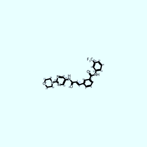 O=C(/C=C/c1cccc(C(=O)Nc2cccc(C(F)(F)F)c2)c1)Nc1cnc(N2CCOCC2)nc1